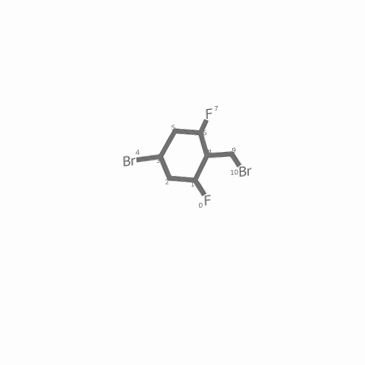 FC1CC(Br)CC(F)C1CBr